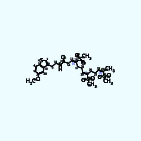 COc1ccc2scc(CCNC(=O)C/C=C(\CC/C=C(\CC/C=C(/C)S(C)(=O)=O)S(C)(=O)=O)S(C)(=O)=O)c2c1